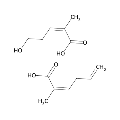 C=CCC=C(C)C(=O)O.CC(=CCCO)C(=O)O